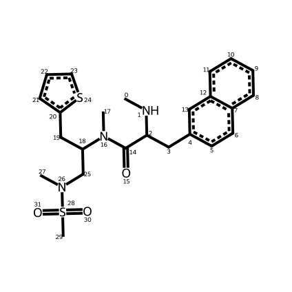 CNC(Cc1ccc2ccccc2c1)C(=O)N(C)C(Cc1cccs1)CN(C)S(C)(=O)=O